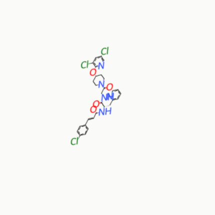 O=C(C=Cc1ccc(Cl)cc1)N[C@@H](Cc1ccccn1)C(=O)NCC(=O)N1CCC(Oc2ncc(Cl)cc2Cl)CC1